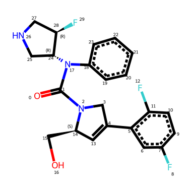 O=C(N1CC(c2cc(F)ccc2F)=C[C@H]1CO)N(c1ccccc1)[C@@H]1CNC[C@H]1F